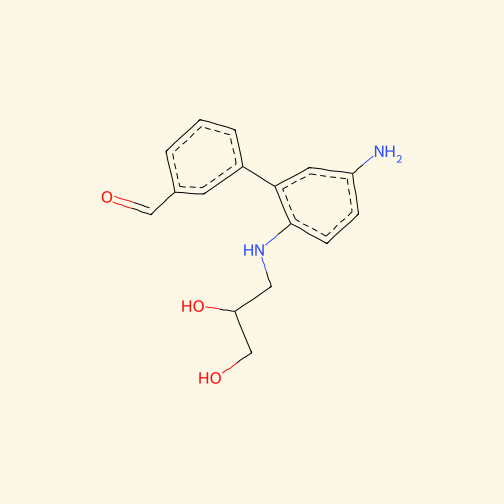 Nc1ccc(NCC(O)CO)c(-c2cccc(C=O)c2)c1